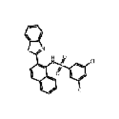 O=S(=O)(Nc1c(-c2nc3ccccc3s2)ccc2ccccc12)c1cc(Cl)cc(Cl)c1